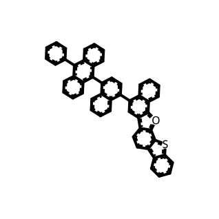 c1ccc(-c2c3ccccc3c(-c3ccc(-c4cc5c6ccc7c8ccccc8sc7c6oc5c5ccccc45)c4ccccc34)c3ccccc23)cc1